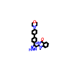 CN1c2ccccc2C(=O)NC1c1n[nH]nc1-c1ccc(-c2ccc(N3CCOCC3)cc2)cc1